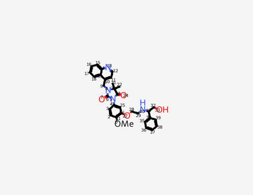 COc1ccc(N2C(=O)N(Cc3ccnc4ccccc34)C(C)(C)C2=O)cc1OCCNC(CO)c1ccccc1